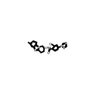 Cc1ccc2c(c1)nc1n2C[C@H](NC(=O)c2ccc(-n3cncn3)cc2Cl)CC1